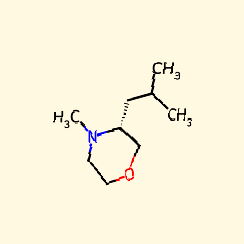 CC(C)C[C@@H]1COCCN1C